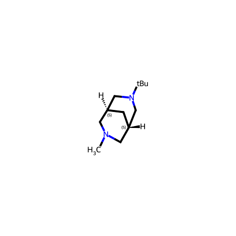 CN1C[C@@H]2C[C@@H](C1)CN(C(C)(C)C)C2